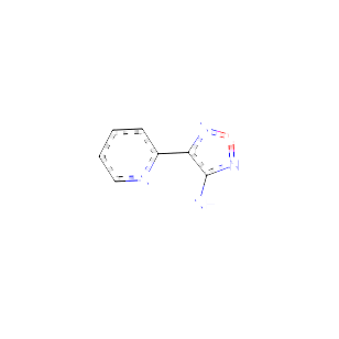 Nc1nonc1-c1ccccn1